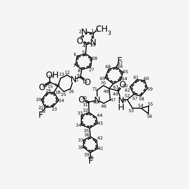 Cc1noc(-c2ccc(C(=O)N3CCC(C(=O)O)(c4ccc(F)cc4)CC3)cc2)n1.O=C(c1ccc(-c2ccc(F)cc2)cc1)N1CCC(C(=O)NC(CC2CC2)c2ccccc2)(c2ccc(F)cc2)CC1